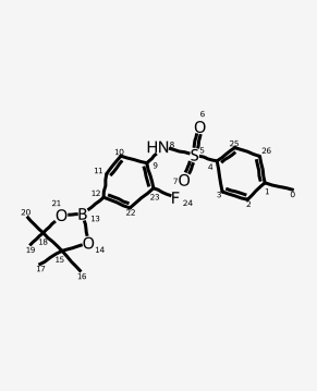 Cc1ccc(S(=O)(=O)Nc2ccc(B3OC(C)(C)C(C)(C)O3)cc2F)cc1